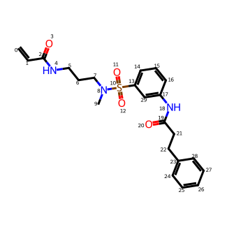 C=CC(=O)NCCCN(C)S(=O)(=O)c1cccc(NC(=O)CCc2ccccc2)c1